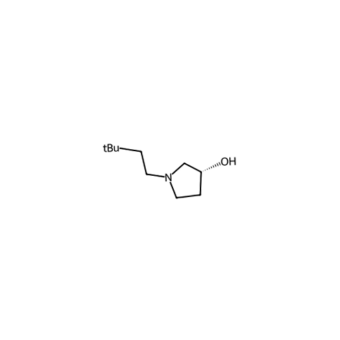 CC(C)(C)CCN1CC[C@@H](O)C1